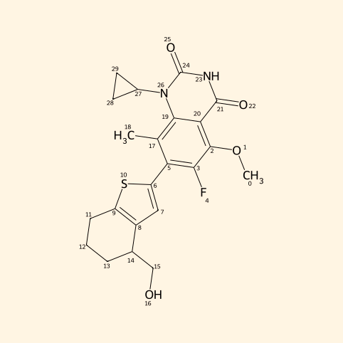 COc1c(F)c(-c2cc3c(s2)CCCC3CO)c(C)c2c1c(=O)[nH]c(=O)n2C1CC1